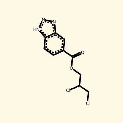 O=C(OCC(Cl)CCl)c1ccc2[nH]nnc2c1